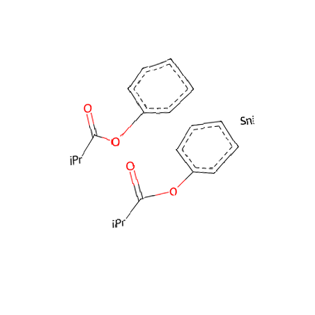 CC(C)C(=O)Oc1ccccc1.CC(C)C(=O)Oc1ccccc1.[Sn]